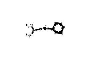 CN(C)[N+]#[N+]c1ccccc1